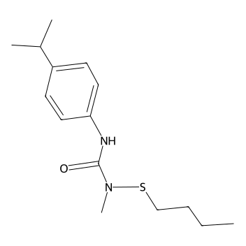 CCCCSN(C)C(=O)Nc1ccc(C(C)C)cc1